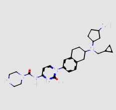 NC1CCC(N(CC2CC2)C2CCc3cc(-n4ccc(NC(=O)N5CCNCC5)nc4=O)ccc3C2)C1